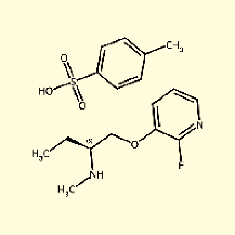 CC[C@@H](COc1cccnc1F)NC.Cc1ccc(S(=O)(=O)O)cc1